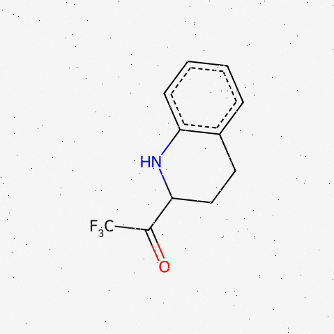 O=C(C1CCc2ccccc2N1)C(F)(F)F